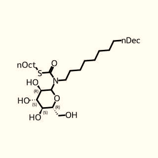 CCCCCCCCCCCCCCCCCCN(C(=O)SCCCCCCCC)C1O[C@H](CO)[C@@H](O)[C@H](O)[C@H]1O